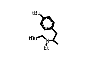 CCN(CC(C)(C)C)C(C)Cc1ccc(C(C)(C)C)cc1